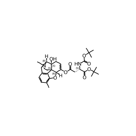 Cc1ccc2c3c1O[C@H]1C(OC(=O)C[C@H](NC(=O)OC(C)(C)C)C(=O)OC(C)(C)C)=CC[C@@]4(O)[C@@H](C2)N(C)CC[C@]314